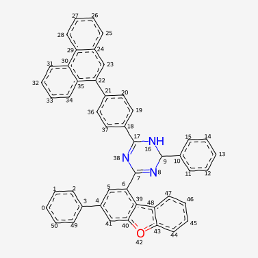 c1ccc(-c2cc(C3=NC(c4ccccc4)NC(c4ccc(-c5cc6ccccc6c6ccccc56)cc4)=N3)c3c(c2)oc2ccccc23)cc1